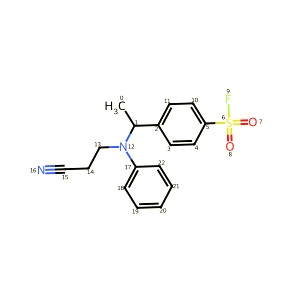 CC(c1ccc(S(=O)(=O)F)cc1)N(CCC#N)c1ccccc1